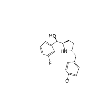 O[C@H](c1cccc(F)c1)[C@H]1CC[C@H](Cc2ccc(Cl)cc2)N1